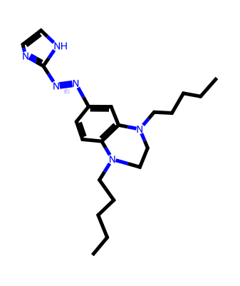 CCCCCN1CCN(CCCCC)c2cc(/N=N/c3ncc[nH]3)ccc21